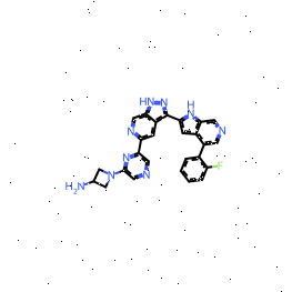 NC1CN(c2cncc(-c3cc4c(-c5cc6c(-c7ccccc7F)cncc6[nH]5)n[nH]c4cn3)n2)C1